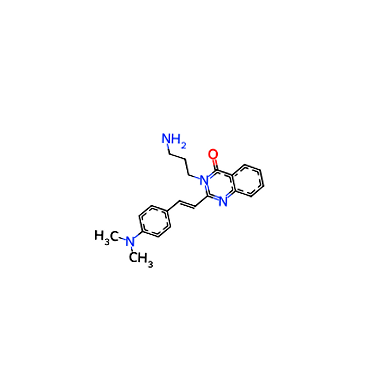 CN(C)c1ccc(C=Cc2nc3ccccc3c(=O)n2CCCN)cc1